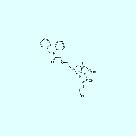 CC(C)CCC=C(O)[C@@H]1[C@@H]2C[C@@H](CCOCC(=O)N(Cc3ccccc3)c3ccccc3)C[C@H]2C[C@H]1O